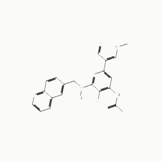 CN/C=C(\C=N)c1cc(NC(C)=O)c(N)c(N(N)Cc2ccc3ncccc3c2)n1